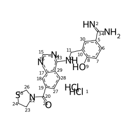 Cl.Cl.N=C(N)c1ccc(O)c(CNc2ncnc3cc(C(=O)N4CCSC4)ccc23)c1